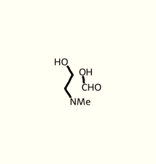 CNCCO.O=CO